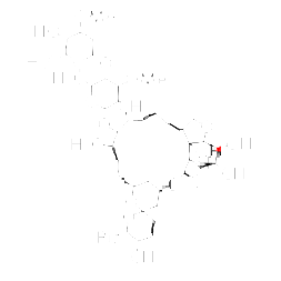 CCC(C)[C@H]1O[C@]2(C=C[C@@H]1C)C[C@@H]1C[C@@H](C/C=C(\C)[C@@H](O[C@H]3C[C@H](OC)[C@@H](O[C@H]4C[C@H](OC)[C@@H](O)[C@H](C)O4)[C@H](C)O3)[C@@H](C)/C=C/C=C3\CO[C@@H]4[C@H](O)C(C)=C[C@@H](C(=O)O1)[C@]34O)O2